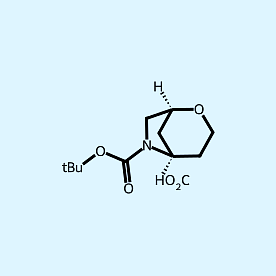 CC(C)(C)OC(=O)N1C[C@@H]2C[C@@]1(C(=O)O)CCO2